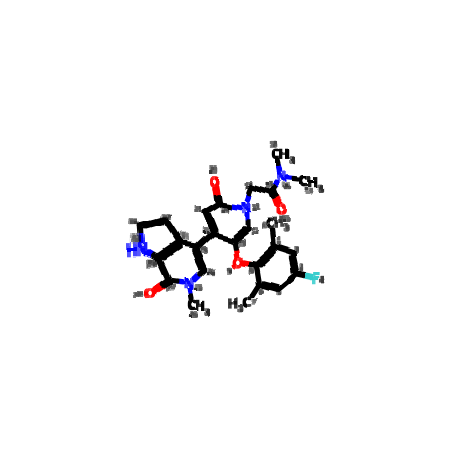 Cc1cc(F)cc(C)c1Oc1cn(CC(=O)N(C)C)c(=O)cc1-c1cn(C)c(=O)c2[nH]ccc12